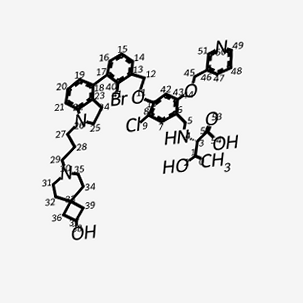 CC(O)[C@H](NCc1cc(Cl)c(OCc2cccc(-c3cccc4c3CCN4CCCN3CCC4(CC3)CC(O)C4)c2Br)cc1OCc1cccnc1)C(=O)O